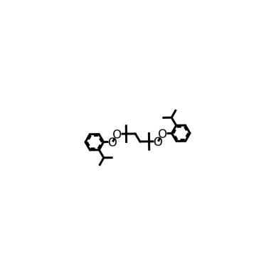 CC(C)c1ccccc1OOC(C)(C)CCC(C)(C)OOc1ccccc1C(C)C